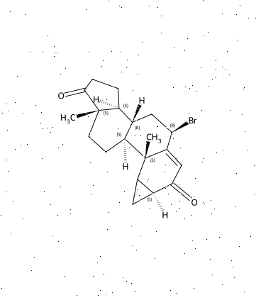 C[C@]12CC[C@H]3[C@@H](C[C@@H](Br)C4=CC(=O)[C@H]5CC5[C@@]43C)[C@@H]1CCC2=O